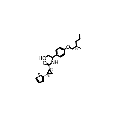 CCC[C@@H](C)COc1ccc(C(CO)NC(=O)[C@H]2C[C@@H]2c2cccs2)cc1